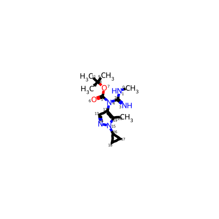 CNC(=N)N(C(=O)OC(C)(C)C)c1cnn(C2CC2)c1C